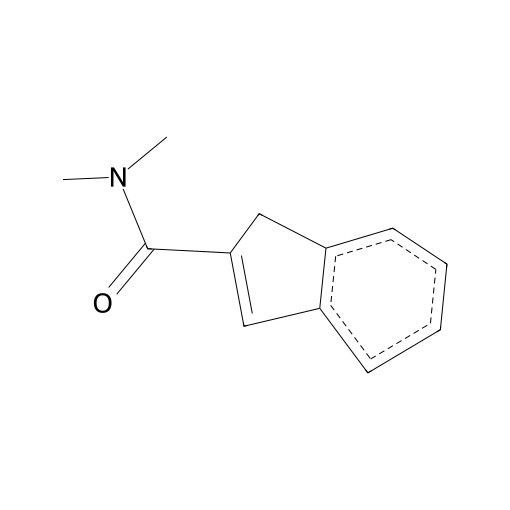 CN(C)C(=O)C1=Cc2ccccc2C1